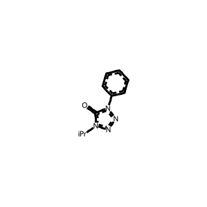 CC(C)n1nnn(-c2ccccc2)c1=O